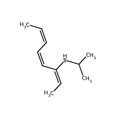 C\C=C/C=C\C(BC(C)C)=C/C